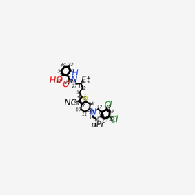 CCC(CCc1sc2c(c1C#N)CCC(N(CCC(C)C)Cc1ccc(Cl)cc1Cl)C2)CNC(=O)c1ccccc1O